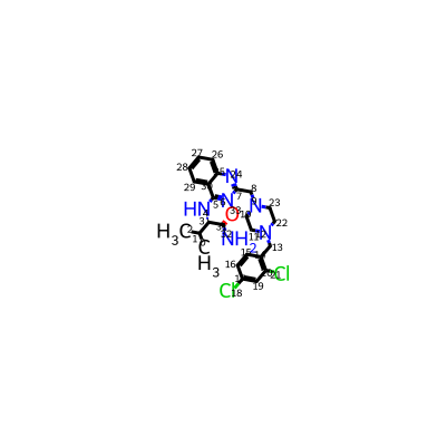 CC(C)[C@H](Nc1nc(CN2CCN(Cc3ccc(Cl)cc3Cl)CC2)nc2ccccc12)C(N)=O